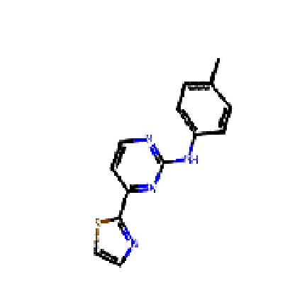 Cc1ccc(Nc2nccc(-c3nccs3)n2)cc1